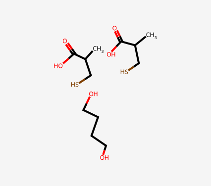 CC(CS)C(=O)O.CC(CS)C(=O)O.OCCCCO